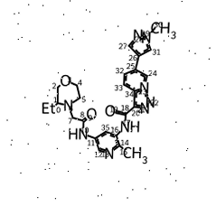 CCC1COCCN1CC(=O)Nc1cnc(C)c(NC(=O)c2nnn3cc(-c4cnn(C)c4)ccc23)c1